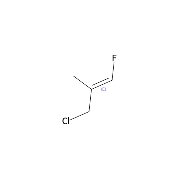 C/C(=C\F)CCl